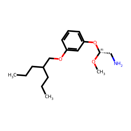 CCCC(CCC)COc1cccc(O[C@H](CN)OC)c1